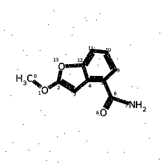 COc1cc2c(C(N)=O)cccc2o1